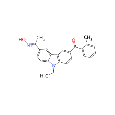 CCn1c2ccc(C(=O)c3ccccc3C)cc2c2cc(/C(C)=N/O)ccc21